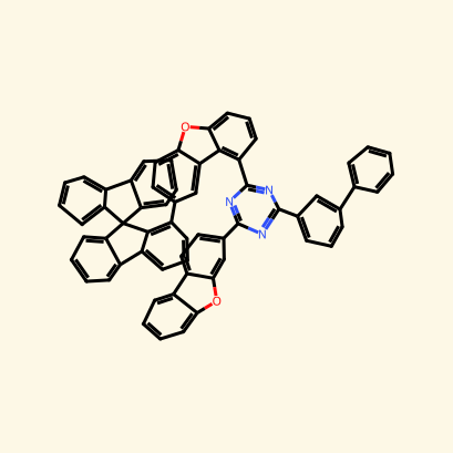 c1ccc(-c2cccc(-c3nc(-c4ccc5c(c4)oc4ccccc45)nc(-c4cccc5oc6ccc(-c7cccc8c7C7(c9ccccc9-c9ccccc97)c7ccccc7-8)cc6c45)n3)c2)cc1